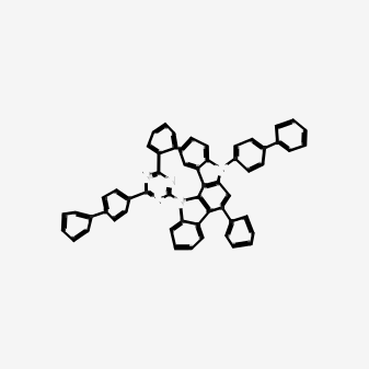 c1ccc(-c2ccc(-c3nc(-c4ccccc4)nc(-n4c5ccccc5c5c(-c6ccccc6)cc6c(c7ccccc7n6-c6ccc(-c7ccccc7)cc6)c54)n3)cc2)cc1